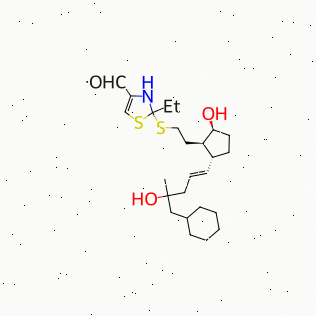 CCC1(SCC[C@H]2[C@@H](O)CC[C@@H]2/C=C/CC(C)(O)CC2CCCCC2)NC([C]=O)=CS1